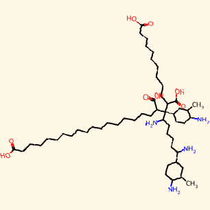 CC1CC(C(N)CCCCC(N)C(C2CCC(N)C(C)C2)(C(CCCCCCCCCCCCCCCCCC(=O)O)C(=O)O)C(CCCCCCCCCC(=O)O)C(=O)O)CCC1N